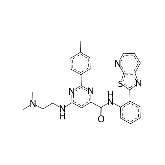 Cc1ccc(-c2nc(NCCN(C)C)cc(C(=O)Nc3ccccc3-c3nc4cccnc4s3)n2)cc1